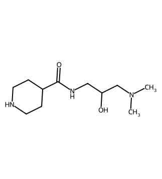 CN(C)CC(O)CNC(=O)C1CCNCC1